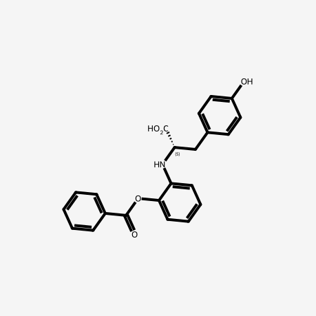 O=C(Oc1ccccc1N[C@@H](Cc1ccc(O)cc1)C(=O)O)c1ccccc1